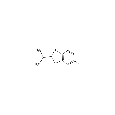 CC(C)C1Cc2cc(F)ccc2O1